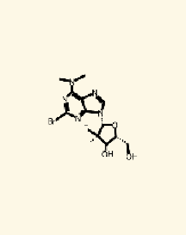 CN(C)c1nc(Br)nc2c1ncn2[C@@H]1O[C@H](CO)[C@@H](O)[C@@]1(C)F